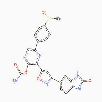 CC(C)[S+]([O-])c1ccc(-c2cnc(OC(N)=O)c(-c3cc(-c4ccc5[nH]c(=O)[nH]c5c4)no3)n2)cc1